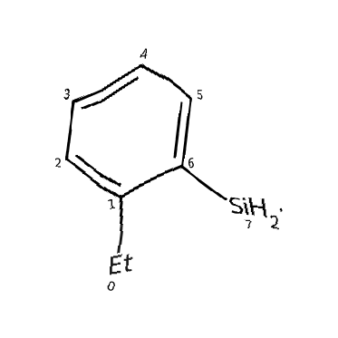 CCc1ccccc1[SiH2]